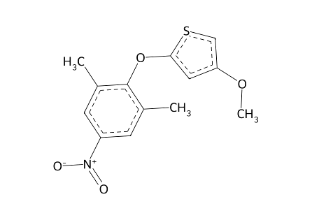 COc1csc(Oc2c(C)cc([N+](=O)[O-])cc2C)c1